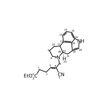 CCOC(=O)CCC=C(C#N)CN1CCCC2c3cccc4[nH]cc(c34)C[C@H]21